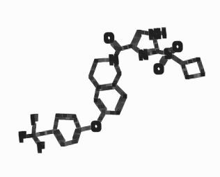 O=C(c1c[nH]c(S(=O)(=O)C2CCC2)n1)N1CCc2cc(Oc3ccc(C(F)(F)F)cc3)ccc2C1